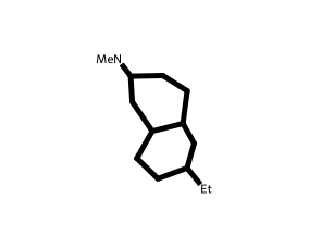 CCC1CCC2CC(NC)CCC2C1